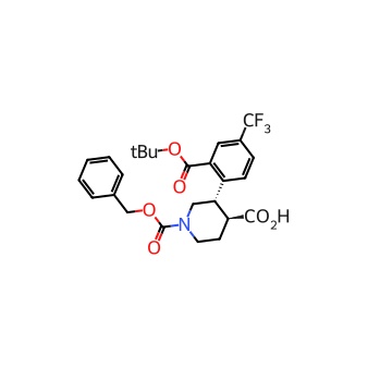 CC(C)(C)OC(=O)c1cc(C(F)(F)F)ccc1[C@H]1CN(C(=O)OCc2ccccc2)CC[C@@H]1C(=O)O